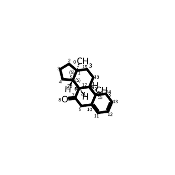 C[C@@]12CCC[C@H]1[C@@H]1C(=O)CC3=CC=CC[C@]3(C)[C@H]1CC2